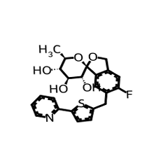 C[C@H]1O[C@]2(OCc3cc(F)c(Cc4ccc(-c5ccccn5)s4)cc32)[C@H](O)[C@@H](O)[C@@H]1O